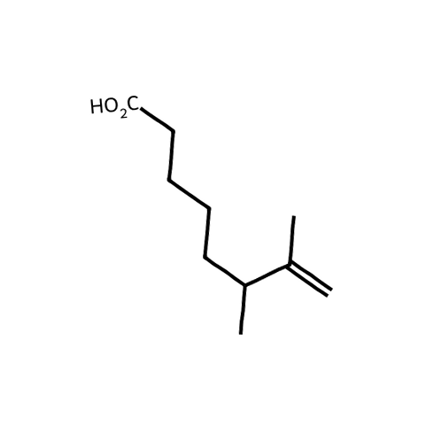 C=C(C)C(C)CCCCC(=O)O